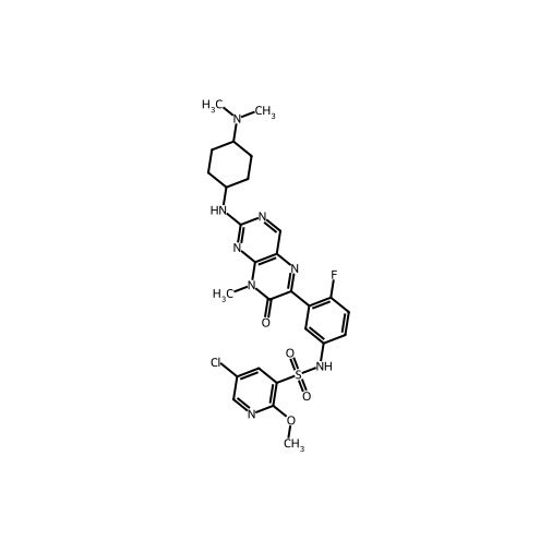 COc1ncc(Cl)cc1S(=O)(=O)Nc1ccc(F)c(-c2nc3cnc(NC4CCC(N(C)C)CC4)nc3n(C)c2=O)c1